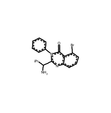 CC(C)C(N)c1nc2cccc(Br)c2c(=O)n1-c1ccccc1